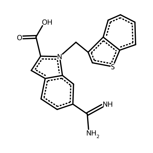 N=C(N)c1ccc2cc(C(=O)O)n(Cc3csc4ccccc34)c2c1